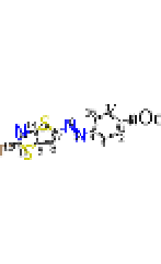 CCCCCCCCc1ccc(N=Nc2cc3sc(Br)nc3s2)cc1